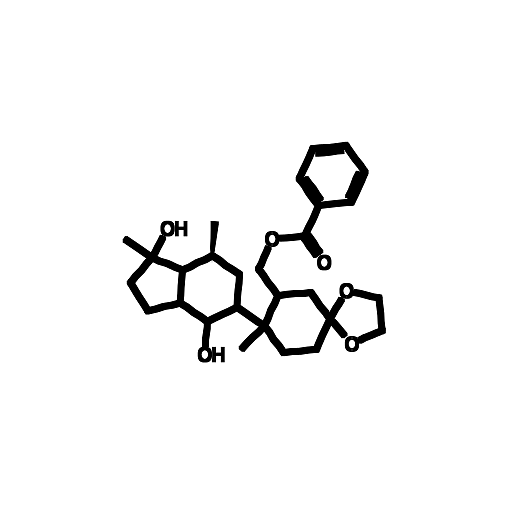 C[C@H]1CC(C2(C)CCC3(CC2COC(=O)c2ccccc2)OCCO3)C(O)C2CCC(C)(O)C21